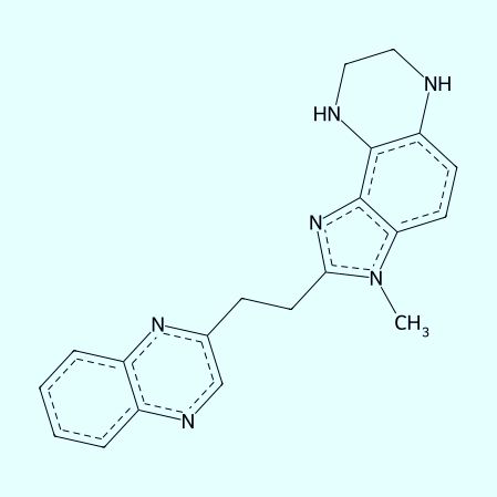 Cn1c(CCc2cnc3ccccc3n2)nc2c3c(ccc21)NCCN3